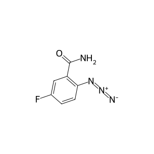 [N-]=[N+]=Nc1ccc(F)cc1C(N)=O